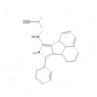 C#CC(C)NC(=O)C1=C2C(=C(c3ccccc3)C1=O)c1cccc3cccc2c13